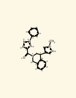 Cn1cc(C2CN(C(=O)c3nnn(-c4ccccc4)n3)Cc3ccccc32)cn1